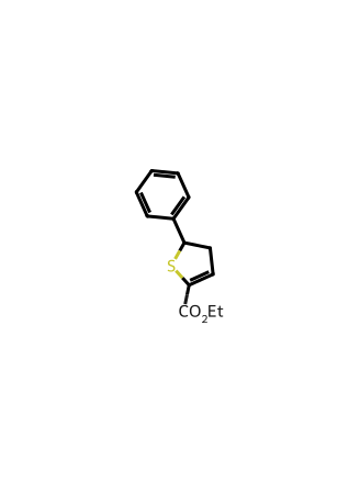 CCOC(=O)C1=CCC(c2ccccc2)S1